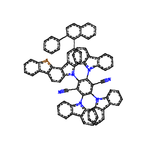 N#Cc1c(-n2c3ccccc3c3ccccc32)c(-n2c3ccccc3c3ccccc32)c(C#N)c(-n2c3ccc(-c4c(-c5ccccc5)ccc5ccccc45)cc3c3c4sc5ccccc5c4ccc32)c1-n1c2ccccc2c2ccccc21